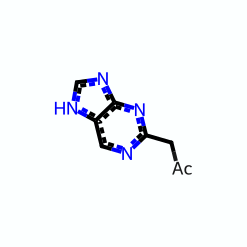 CC(=O)Cc1ncc2[nH]cnc2n1